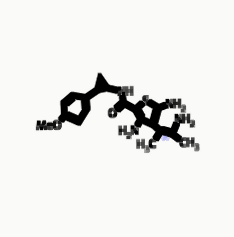 COc1ccc(C2CC2NC(=O)c2sc(N)c(/C(C)=C(/C)N)c2N)cc1